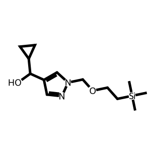 C[Si](C)(C)CCOCn1cc(C(O)C2CC2)cn1